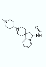 CC(=O)N[C@H]1CC2(CCN(C3CCN(C)CC3)CC2)c2ccccc21